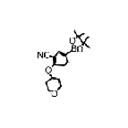 CC1(C)OB(C2=CC(C#N)=C(OC3CCOCC3)CC2)OC1(C)C